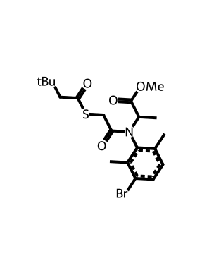 COC(=O)C(C)N(C(=O)CSC(=O)CC(C)(C)C)c1c(C)ccc(Br)c1C